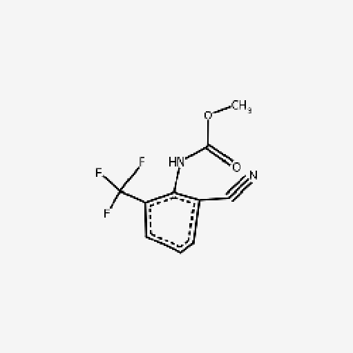 COC(=O)Nc1c(C#N)cccc1C(F)(F)F